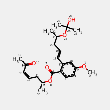 COc1ccc(C(=O)O[C@@H](C)C/C=C\C(C)=O)c(/C=C/C[C@@H](C)OC(C)(C)O)c1